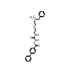 CN(CCOCCNC(=O)NSC(=O)c1ccc(-c2ccccc2)cc1)Cc1ccccc1